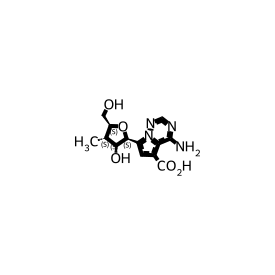 C[C@H]1[C@H](O)[C@H](c2cc(C(=O)O)c3c(N)ncnn23)O[C@@H]1CO